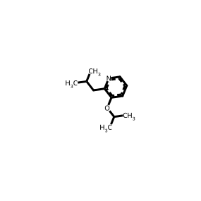 CC(C)Cc1ncccc1OC(C)C